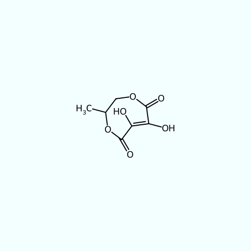 CC1COC(=O)/C(O)=C(\O)C(=O)O1